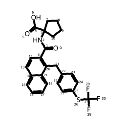 O=C(NC1(C(=O)O)CCCC1)c1ccc2ccccc2c1Cc1ccc(SC(F)(F)F)cc1